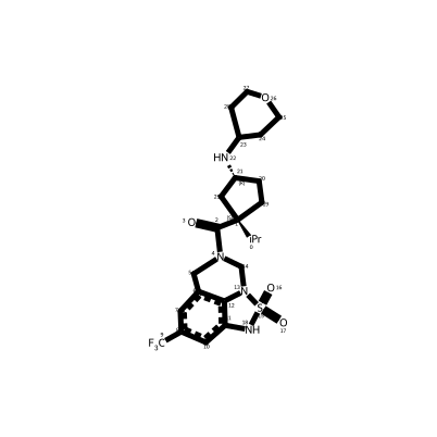 CC(C)[C@]1(C(=O)N2Cc3cc(C(F)(F)F)cc4c3N(C2)S(=O)(=O)N4)CC[C@@H](NC2CCOCC2)C1